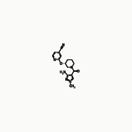 Cn1cc(C(=O)N2CCC[C@@H](Oc3cc(C#N)ccn3)C2)c(N)n1